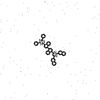 c1ccc(-c2nc(-c3ccccc3)nc(-c3ccc(-c4ccc(-c5cc(-c6ccc7ccccc7c6)nc(-c6ccc7ccccc7c6)n5)c5ccccc45)c4ccccc34)n2)cc1